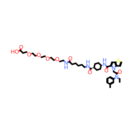 CCN(C(=O)Cn1c(C(=O)N[C@H]2CC[C@H](C(=O)NCCCCCC(=O)NCCOCCOCCOCCOCCC(=O)O)CC2)cc2sccc21)c1cccc(C)c1